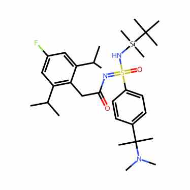 CC(C)c1cc(F)cc(C(C)C)c1CC(=O)N=S(=O)(N[Si](C)(C)C(C)(C)C)c1ccc(C(C)(C)N(C)C)cc1